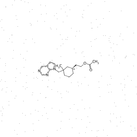 CC(=O)OCC[C@H]1CCCC(C)(Cn2ccc3cncnc32)C1